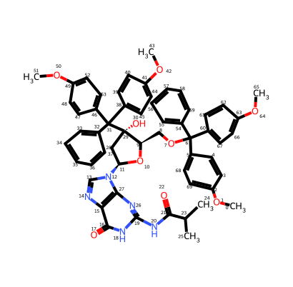 COc1ccc(C(OC[C@H]2O[C@@H](n3cnc4c(=O)[nH]c(NC(=O)C(C)C)nc43)C[C@@]2(O)C(c2ccccc2)(c2ccc(OC)cc2)c2ccc(OC)cc2)(c2ccccc2)c2ccc(OC)cc2)cc1